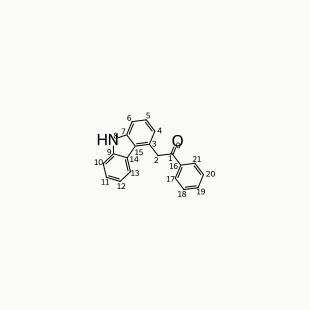 O=C(Cc1cccc2[nH]c3ccccc3c12)c1ccccc1